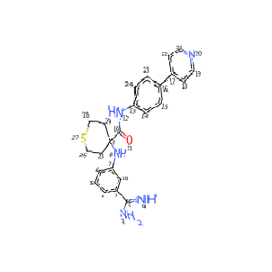 N=C(N)c1cccc(NC2(C(=O)Nc3ccc(-c4ccncc4)cc3)CCSCC2)c1